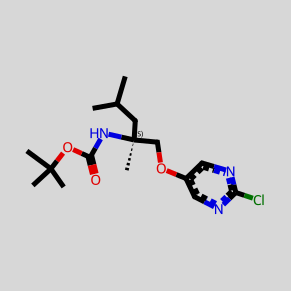 CC(C)C[C@@](C)(COc1cnc(Cl)nc1)NC(=O)OC(C)(C)C